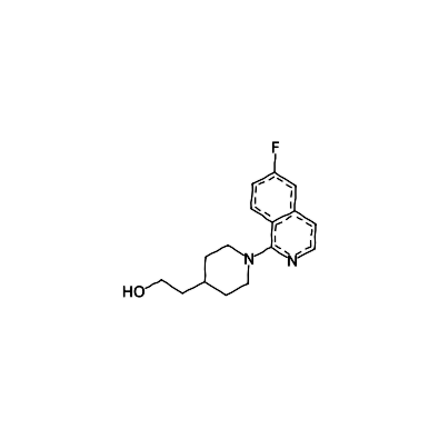 OCCC1CCN(c2nccc3cc(F)ccc23)CC1